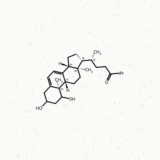 CC(C)C(=O)CC[C@@H](C)[C@H]1CC[C@H]2C3=CC=C4CC(O)CC(O)[C@]4(C)[C@H]3CC[C@]12C